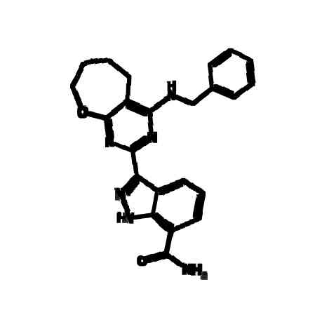 NC(=O)c1cccc2c(-c3nc(NCc4ccccc4)c4c(n3)OCCCC4)n[nH]c12